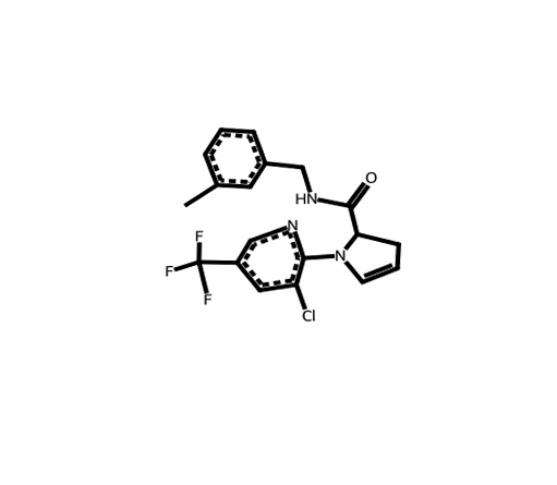 Cc1cccc(CNC(=O)C2CC=CN2c2ncc(C(F)(F)F)cc2Cl)c1